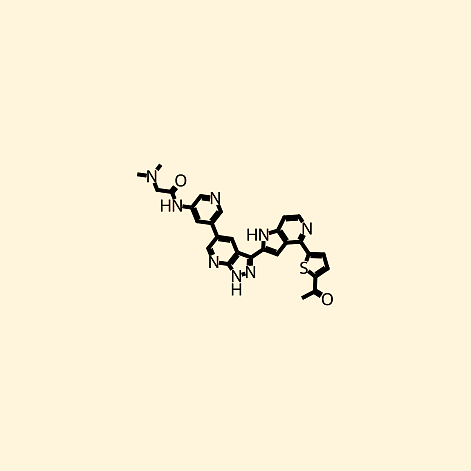 CC(=O)c1ccc(-c2nccc3[nH]c(-c4n[nH]c5ncc(-c6cncc(NC(=O)CN(C)C)c6)cc45)cc23)s1